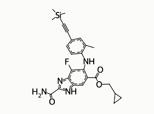 Cc1cc(C#C[Si](C)(C)C)ccc1Nc1c(C(=O)OCC2CC2)cc2[nH]c(C(N)=O)nc2c1F